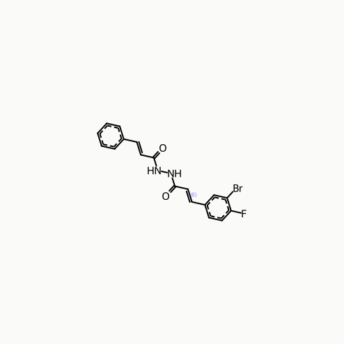 O=C(C=Cc1ccccc1)NNC(=O)/C=C/c1ccc(F)c(Br)c1